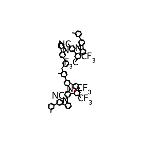 Cc1cccc(-c2ccc3c(c2)c2ccccc2n3-c2cc(-c3cc(C(F)(F)F)cc(C(F)(F)F)c3)c(-n3c4ccccc4c4cc(-c5ccc(Cc6cccc(-c7ccc8c9ccccc9n(-c9cc(-c%10cc(C(F)(F)F)cc(C(F)(F)F)c%10)c(-n%10c%11ccccc%11c%11ccc(-c%12cccc(C)c%12)cc%11%10)cc9C#N)c8c7)c6)c(C)c5)ccc43)cc2C#N)c1